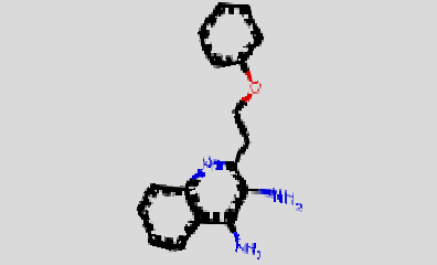 Nc1c(CCOc2ccccc2)nc2ccccc2c1N